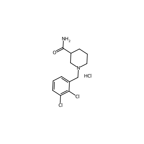 Cl.NC(=O)C1CCCN(Cc2cccc(Cl)c2Cl)C1